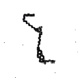 CCCCC/C=C\C/C=C\CCCCCCCCOC[C@H](CN(C)C)OCCCCCCCCO[C@H]1CC[C@@]2(C)C(=CCC3C2CC[C@@]2(C)C3CC[C@@H]2[C@H](C)CCCC(C)C)C1